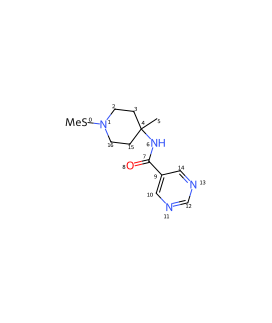 CSN1CCC(C)(NC(=O)c2cncnc2)CC1